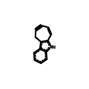 C1#CCc2c([nH]c3ccccc23)C=C1